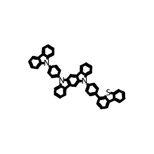 c1ccc2c(c1)sc1c(-c3ccc(-n4c5ccccc5c5cc6c(cc54)c4ccccc4n6-c4ccc(-n5c6ccccc6c6ccccc65)cc4)cc3)cccc12